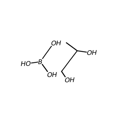 CC(O)CO.OB(O)O